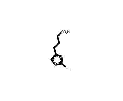 Cc1nc(CCCC(=O)O)cs1